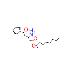 CCCCCCCC(C)OC(=O)CC(N)CC(=O)c1ccccc1